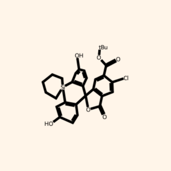 CC(C)(C)OC(=O)c1cc2c(cc1Cl)C(=O)OC21c2ccc(O)cc2[Si]2(CCCCC2)c2cc(O)ccc21